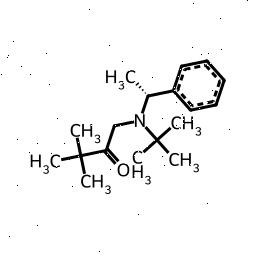 C[C@H](c1ccccc1)N(CC(=O)C(C)(C)C)C(C)(C)C